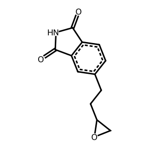 O=C1NC(=O)c2cc(CCC3CO3)ccc21